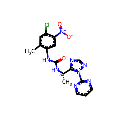 Cc1cc(Cl)c([N+](=O)[O-])cc1NC(=O)N[C@@H](C)c1ncnn1-c1ncccn1